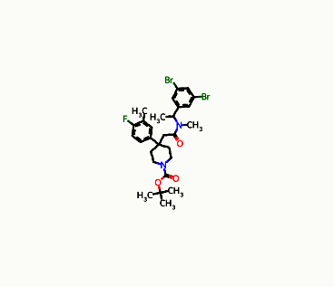 Cc1cc(C2(CC(=O)N(C)C(C)c3cc(Br)cc(Br)c3)CCN(C(=O)OC(C)(C)C)CC2)ccc1F